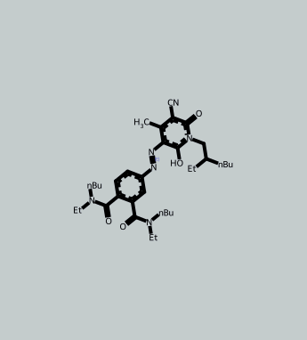 CCCCC(CC)Cn1c(O)c(/N=N/c2ccc(C(=O)N(CC)CCCC)c(C(=O)N(CC)CCCC)c2)c(C)c(C#N)c1=O